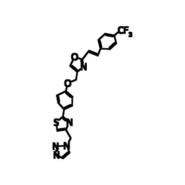 FC(F)(F)c1ccc(C=Cc2nc(COc3ccc(-c4nc(Cn5ccnn5)cs4)cc3)co2)cc1